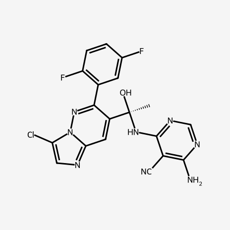 C[C@](O)(Nc1ncnc(N)c1C#N)c1cc2ncc(Cl)n2nc1-c1cc(F)ccc1F